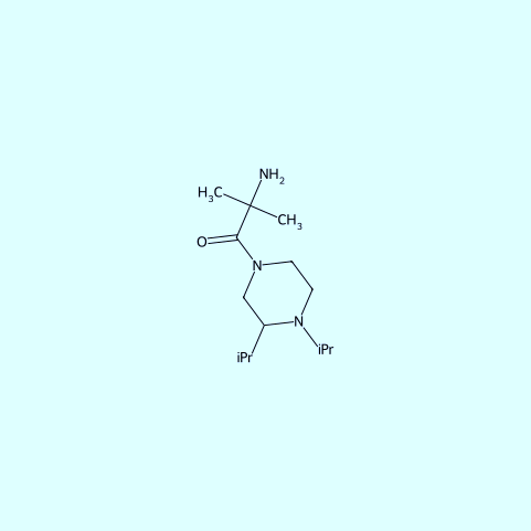 CC(C)C1CN(C(=O)C(C)(C)N)CCN1C(C)C